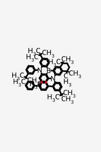 Cc1cc2c3c(c1)N(c1ccc(C(C)(C)C)cc1-c1ccc(-c4ccccc4)cc1)c1cc4c(cc1B3c1ccc(C(C)(C)C)cc1N2c1cccc(C(C)(C)C)c1)C(C)(C)CCC4(C)C